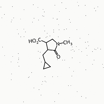 CN1CC(C(=O)O)C(CC2CC2)C1=O